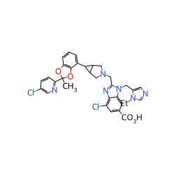 CCn1cncc1Cn1c(CN2CC3C(C2)C3c2cccc3c2OC(C)(c2ccc(Cl)cn2)O3)nc2c(Cl)cc(C(=O)O)cc21